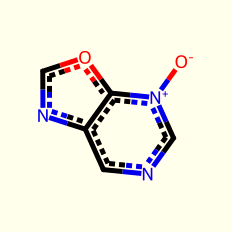 [O-][n+]1cncc2ncoc21